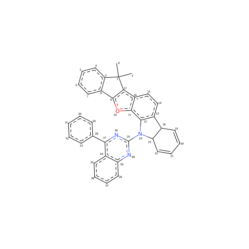 CC1(C)c2ccccc2-c2oc3c4c(ccc3c21)C1C=CC=CC1N4c1nc(-c2ccccc2)c2ccccc2n1